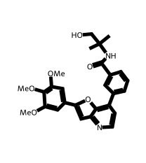 COc1cc(-c2cc3nccc(-c4cccc(C(=O)NC(C)(C)CO)c4)c3o2)cc(OC)c1OC